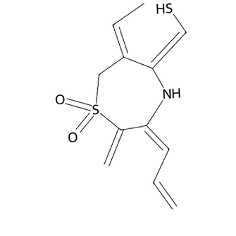 C=C/C=C1/NC(=C/S)/C(=C\C)CS(=O)(=O)C1=C